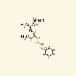 C=C/C(=C\N=C(\N)NCCCCC)CCCCc1ccccc1